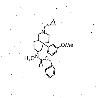 COc1cccc(C23CCN(CC4CC4)CC2CCC(N(C)C(=O)OCc2ccccc2)C3)c1